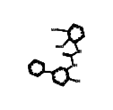 COc1cccc(NC(=O)Nc2cc(-c3ccccc3)ccc2O)c1OC